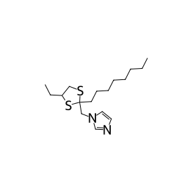 CCCCCCCCC1(Cn2ccnc2)SCC(CC)S1